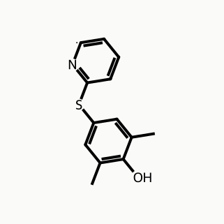 Cc1cc(Sc2ccc[c]n2)cc(C)c1O